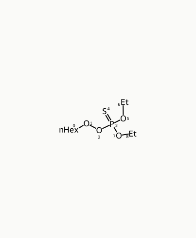 CCCCCCOOP(=S)(OCC)OCC